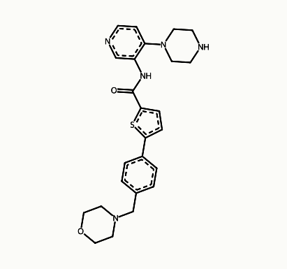 O=C(Nc1cnccc1N1CCNCC1)c1ccc(-c2ccc(CN3CCOCC3)cc2)s1